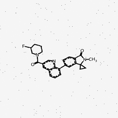 CN1C(=O)c2ccc(-c3cccc4cc(C(=O)N5CCCC(F)C5)cnc34)cc2C12CC2